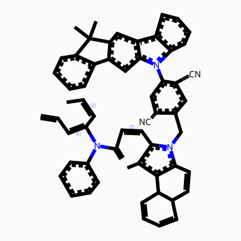 C=C/C=C(\C=C/C)N(C(=C)/C=C\c1c(C)c2c(n1Cc1cc(C#N)c(-n3c4ccccc4c4cc5c(cc43)-c3ccccc3C5(C)C)cc1C#N)C=CC1C=CC=CC21)c1ccccc1